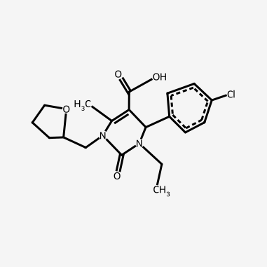 CCN1C(=O)N(CC2CCCO2)C(C)=C(C(=O)O)C1c1ccc(Cl)cc1